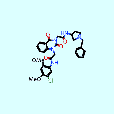 COc1cc(OC)c(NC(=O)Cn2c(=O)n(CC(=O)NC3CCN(Cc4ccccc4)C3)c(=O)c3ccccc32)cc1Cl